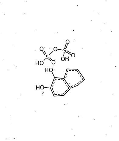 O=S(=O)(O)OS(=O)(=O)O.Oc1ccc2ccccc2c1O